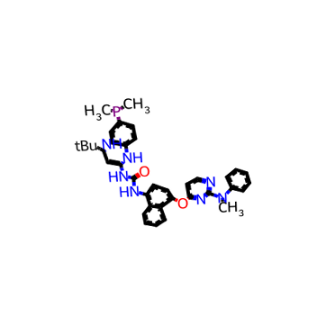 CN(c1ccccc1)c1nccc(Oc2ccc(NC(=O)N/C(=C/C(=N)C(C)(C)C)Nc3ccc(P(C)C)cc3)c3ccccc23)n1